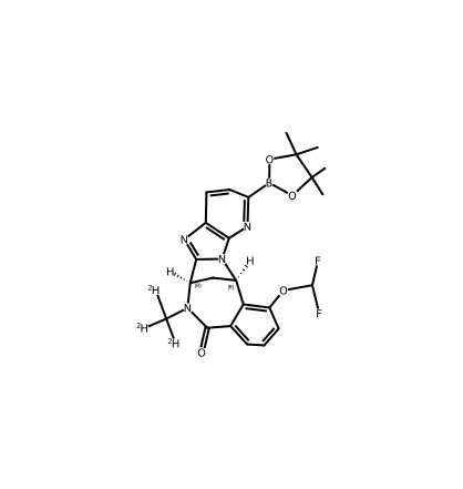 [2H]C([2H])([2H])N1C(=O)c2cccc(OC(F)F)c2[C@H]2C[C@@H]1c1nc3ccc(B4OC(C)(C)C(C)(C)O4)nc3n12